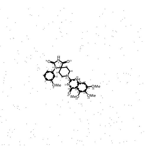 COc1cccc(N2C(=O)NC(=O)C23CCN(c2nc(=O)c4c(OC)c(OC)c(OC)cc4[nH]2)CC3)c1